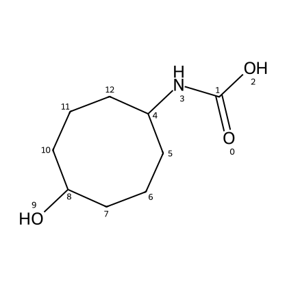 O=C(O)NC1CCCC(O)CCC1